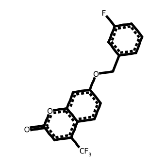 O=c1cc(C(F)(F)F)c2ccc(OCc3cccc(F)c3)cc2o1